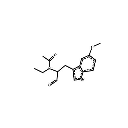 CCN(C(C)=O)C(C=O)Cc1c[nH]c2ccc(OC)cc12